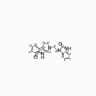 O=c1[nH]c2ccccc2n1CCN1CCc2c([nH]c3c(Cl)cccc23)C1